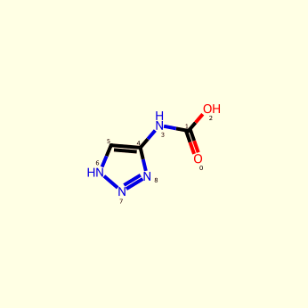 O=C(O)Nc1c[nH]nn1